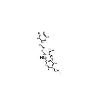 Cc1ccc(NC(C/C=C/c2ccccc2)C(=O)O)cc1